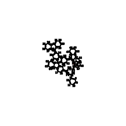 c1ccc(-c2nc(-c3ccccc3)nc(-c3ccc4c(c3)C(c3ccc(-n5c6ccccc6c6ccccc65)cc3)(c3ccc(-n5c6ccccc6c6ccccc65)cc3)c3ccccc3-4)n2)cc1